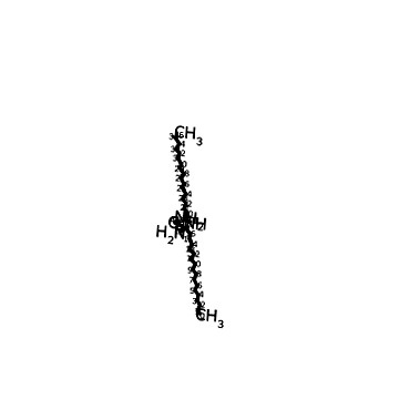 CCCCCCCCCCCCCCCCCCNCCCCCCCCCCCCCCCCCC.NCC(N)=O